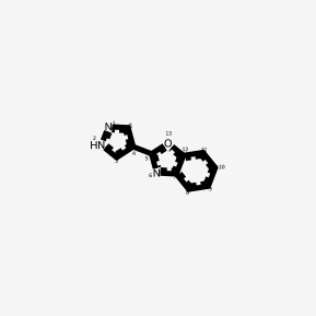 [c]1n[nH]cc1-c1nc2ccccc2o1